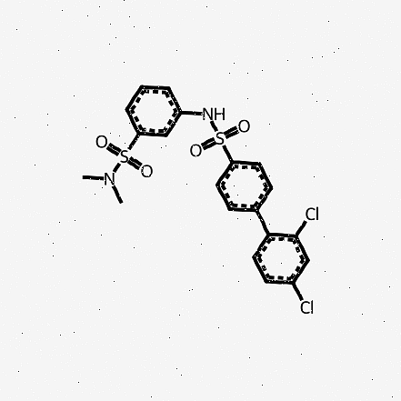 CN(C)S(=O)(=O)c1cccc(NS(=O)(=O)c2ccc(-c3ccc(Cl)cc3Cl)cc2)c1